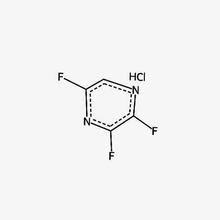 Cl.Fc1cnc(F)c(F)n1